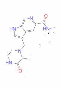 CNC(=O)c1cc2c(CN3CCNC(=O)C3C)c[nH]c2cn1